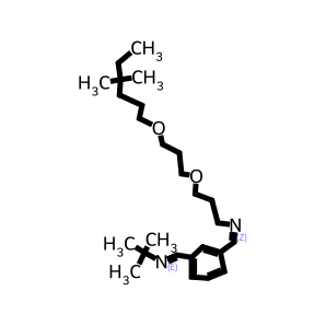 CCC(C)(C)CCCOCCCOCCC/N=C\c1cccc(/C=N/C(C)(C)C)c1